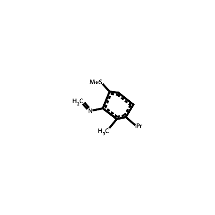 C=Nc1c(SC)ccc(C(C)C)c1C